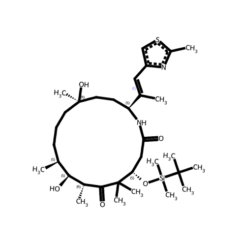 C/C(=C\c1csc(C)n1)[C@@H]1CC[C@](C)(O)CCC[C@H](C)[C@H](O)[C@@H](C)C(=O)C(C)(C)[C@@H](O[Si](C)(C)C(C)(C)C)CC(=O)N1